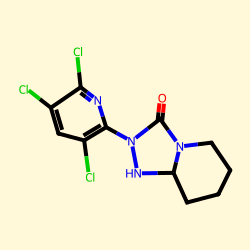 O=C1N(c2nc(Cl)c(Cl)cc2Cl)NC2CCCCN12